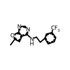 Cc1cc2c(NCCc3cccc(C(F)(F)F)c3)ncnc2o1